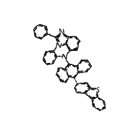 c1ccc(-c2nc3cccc4c3n2-c2ccccc2N4c2c3ccccc3c(-c3ccc4c(c3)sc3ccccc34)c3ccccc23)cc1